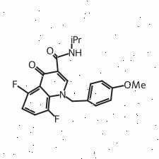 COc1ccc(Cn2cc(C(=O)NC(C)C)c(=O)c3c(F)ccc(F)c32)cc1